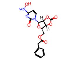 O=C(Cc1ccccc1)OC[C@H]1O[C@@H](n2ccc(NO)nc2=O)[C@@H]2OC(=O)O[C@@H]21